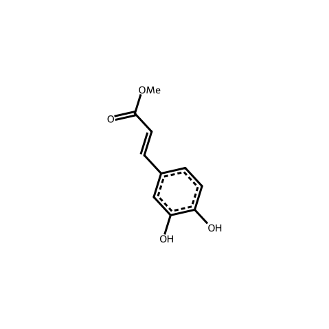 COC(=O)C=Cc1ccc(O)c(O)c1